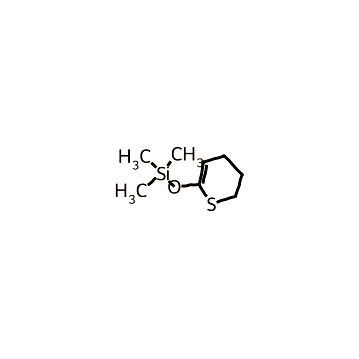 C[Si](C)(C)OC1=CCCCS1